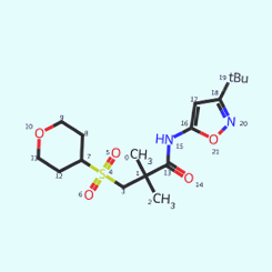 CC(C)(CS(=O)(=O)C1CCOCC1)C(=O)Nc1cc(C(C)(C)C)no1